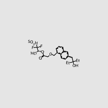 CCC(O)(CC)Cc1ccc2c(COCC(=O)OC(O)C(F)(F)S(=O)(=O)O)cccc2c1